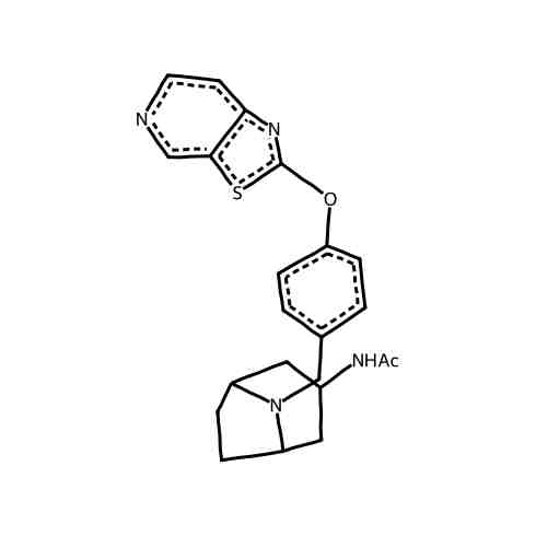 CC(=O)NC1CC2CCC(C1)N2Cc1ccc(Oc2nc3ccncc3s2)cc1